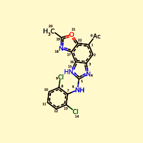 CC(=O)c1cc2nc(Nc3c(Cl)cccc3Cl)[nH]c2c2nc(C)oc12